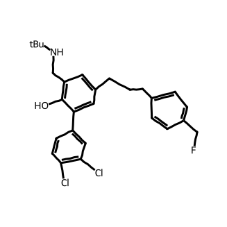 CC(C)(C)NCc1cc(CCCc2ccc(CF)cc2)cc(-c2ccc(Cl)c(Cl)c2)c1O